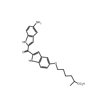 CC(CCCCOc1ccc2[nH]c(C(=O)c3cc4cc(N)ccc4[nH]3)cc2c1)C(=O)O